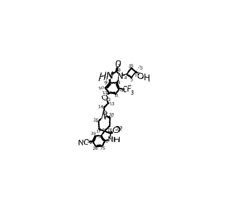 C[C@]1(O)C[C@@H](n2c(=O)[nH]c3cc(OCCN4CCC5(CC4)C(=O)Nc4ccc(C#N)cc45)cc(C(F)(F)F)c32)C1